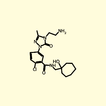 Cc1nn(-c2ccc(Cl)c(C(=O)NCC3(O)CCCCCC3)c2)c(=O)n1CCN